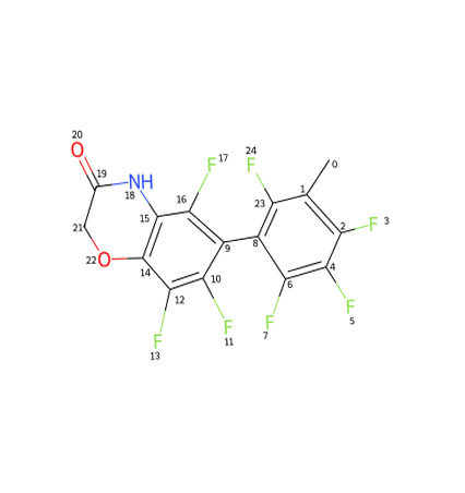 Cc1c(F)c(F)c(F)c(-c2c(F)c(F)c3c(c2F)NC(=O)CO3)c1F